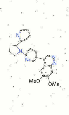 COc1cc2nncc(-c3ccc(N4CCCC4c4ccccn4)nc3)c2cc1OC